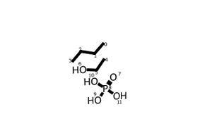 CCCC.CCO.O=P(O)(O)O